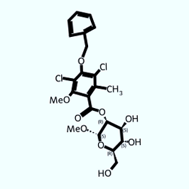 COc1c(Cl)c(OCc2ccccc2)c(Cl)c(C)c1C(=O)O[C@H]1[C@@H](OC)O[C@H](CO)[C@@H](O)[C@@H]1O